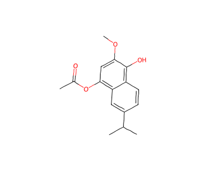 COc1cc(OC(C)=O)c2cc(C(C)C)ccc2c1O